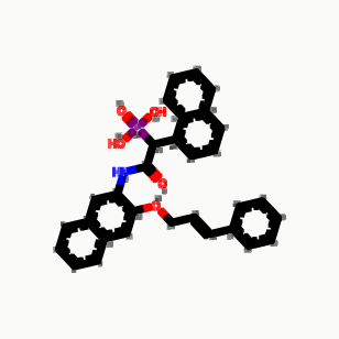 O=C(Nc1cc2ccccc2cc1OC/C=C/c1ccccc1)C(c1cccc2ccccc12)P(=O)(O)O